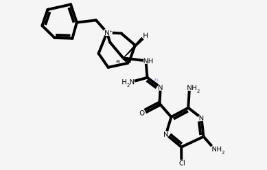 N/C(=N\C(=O)c1nc(Cl)c(N)nc1N)N[C@H]1C[N+]2(Cc3ccccc3)CCC1CC2